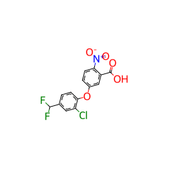 O=C(O)c1cc(Oc2ccc(C(F)F)cc2Cl)ccc1[N+](=O)[O-]